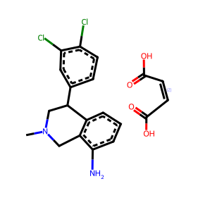 CN1Cc2c(N)cccc2C(c2ccc(Cl)c(Cl)c2)C1.O=C(O)/C=C\C(=O)O